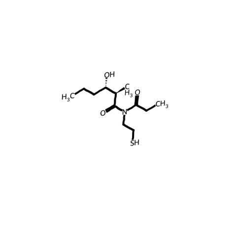 CCC[C@H](O)[C@@H](C)C(=O)N(CCS)C(=O)CC